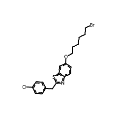 Clc1ccc(Cc2nc3ccc(OCCCCCCBr)cc3s2)cc1